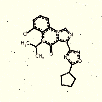 CC(C)n1c(=O)c2c(-c3noc(C4CCCC4)n3)ncn2c2cccc(Cl)c21